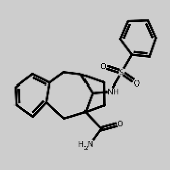 NC(=O)C12CCC(Cc3cc[c]cc3C1)C2NS(=O)(=O)c1ccccc1